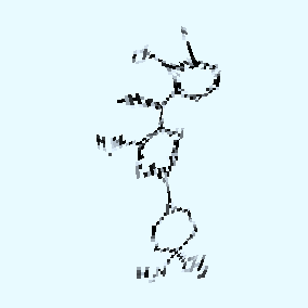 CC1(N)CCN(c2cnc(C(=N)c3cccc(F)c3Cl)c(N)n2)CC1